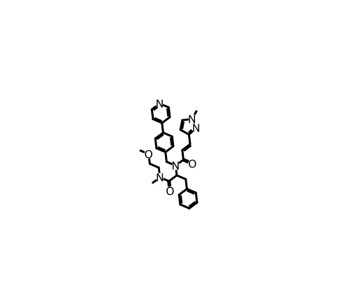 COCCN(C)C(=O)C(Cc1ccccc1)N(Cc1ccc(-c2ccncc2)cc1)C(=O)C=Cc1ccn(C)n1